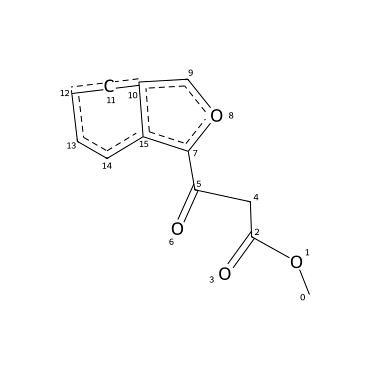 COC(=O)CC(=O)c1occ2ccccc12